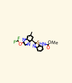 COC(=O)Nc1cccc2nc(-c3cc(C)cc4nc(OC(F)F)cnc34)sc12